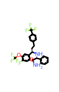 NC(=O)[C@H](N[C@H](CCc1ccc(C(F)(F)F)cc1)c1ccc(F)c(OC(F)(F)F)c1)c1ccccc1